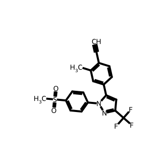 C#Cc1ccc(-c2cc(C(F)(F)F)nn2-c2ccc(S(C)(=O)=O)cc2)cc1C